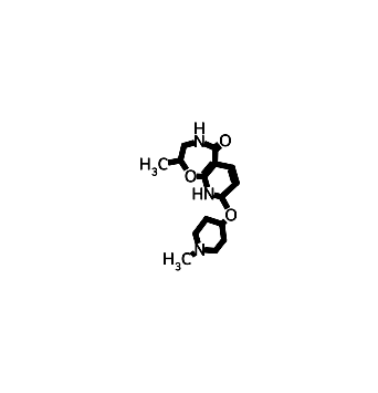 CC1CNC(=O)C2=C(NC(OC3CCN(C)CC3)C=C2)O1